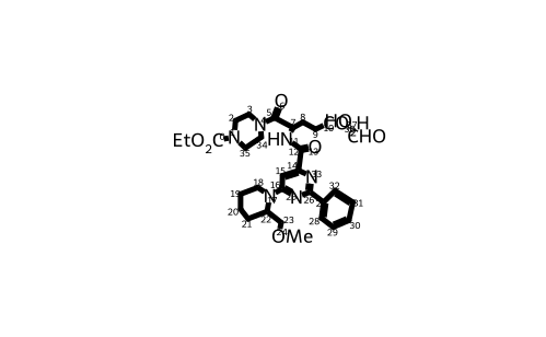 CCOC(=O)N1CCN(C(=O)C(CCC(=O)O)NC(=O)c2cc(N3CCCCC3COC)nc(-c3ccccc3)n2)CC1.O=CO